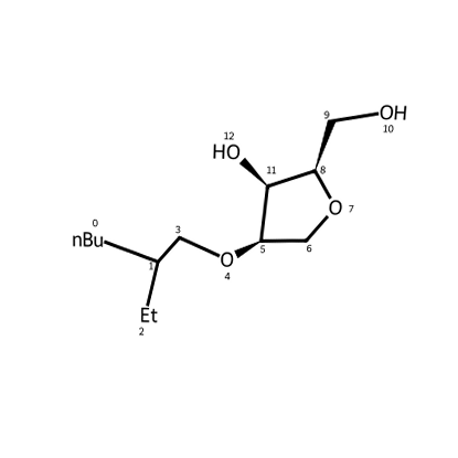 CCCCC(CC)CO[C@@H]1CO[C@H](CO)[C@@H]1O